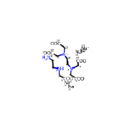 NCCNCC(=O)[O-].O=C([O-])CN(CCN(CC(=O)[O-])CC(=O)[O-])CC(=O)[O-].[Na+].[Na+].[Na+].[Na+].[Na+]